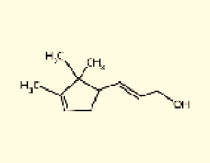 CC1=CCC(C=CCO)C1(C)C